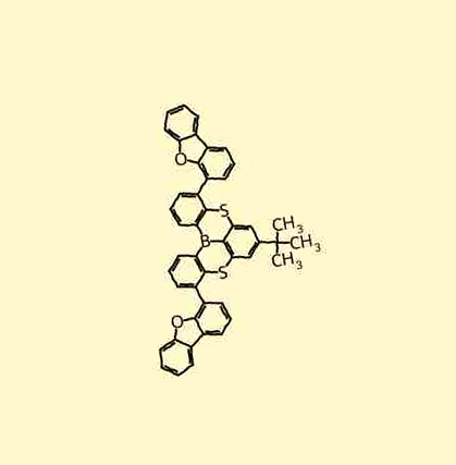 CC(C)(C)c1cc2c3c(c1)Sc1c(cccc1-c1cccc4c1oc1ccccc14)B3c1cccc(-c3cccc4c3oc3ccccc34)c1S2